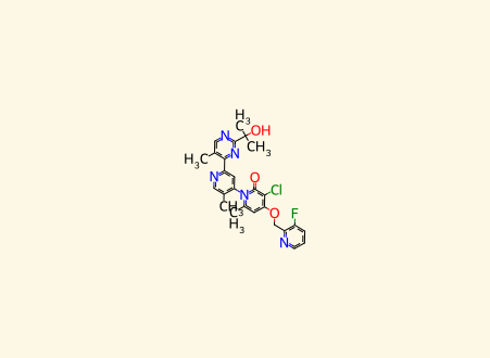 Cc1cnc(-c2nc(C(C)(C)O)ncc2C)cc1-n1c(C)cc(OCc2ncccc2F)c(Cl)c1=O